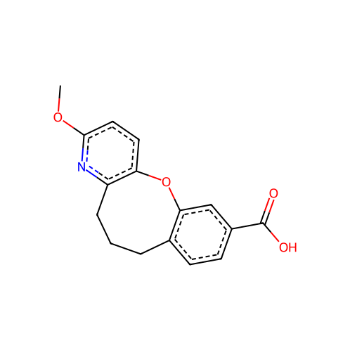 COc1ccc2c(n1)CCCc1ccc(C(=O)O)cc1O2